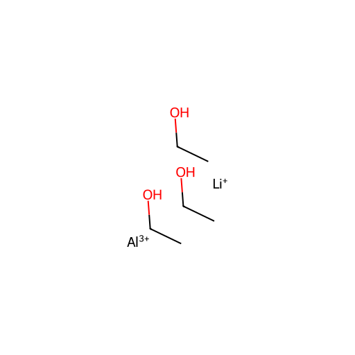 CCO.CCO.CCO.[Al+3].[Li+]